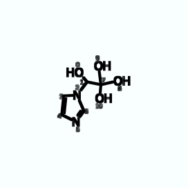 OC(n1ccnc1)C(O)(O)O